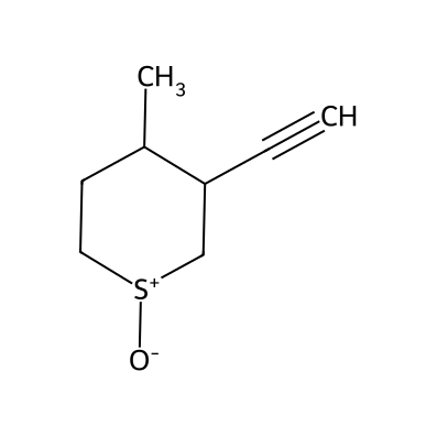 C#CC1C[S+]([O-])CCC1C